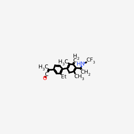 C=C(NCC(F)(F)F)C1=C(C)CC(c2ccc(C(C)=C=O)cc2CC)=C(C)C1=C